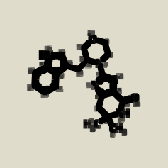 CC1(C)Cc2nc(N3CCOC[C@@H]3Cc3c[nH]c4ccccc34)sc2C(=O)N1